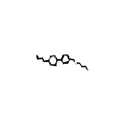 C=CCCC1CCC(c2ccc(COCCCC)cc2)CC1